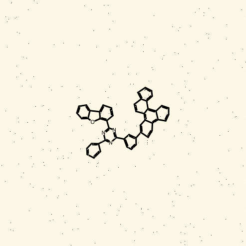 c1ccc(-c2nc(-c3cccc(-c4ccc5c6ccccc6c6c7ccccc7ccc6c5c4)c3)nc(-c3cccc4c3oc3ccccc34)n2)cc1